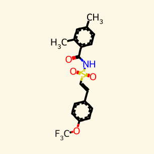 Cc1ccc(C(=O)NS(=O)(=O)/C=C/c2ccc(OC(F)(F)F)cc2)c(C)c1